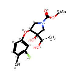 C[C@H](O)C1(O)CN(C(=O)OC(C)(C)C)CC1Oc1ccc(C#N)c(F)c1